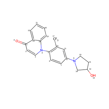 O=c1ccn(-c2ccc(N3CCC(O)C3)cc2C(F)(F)F)c2ccccc12